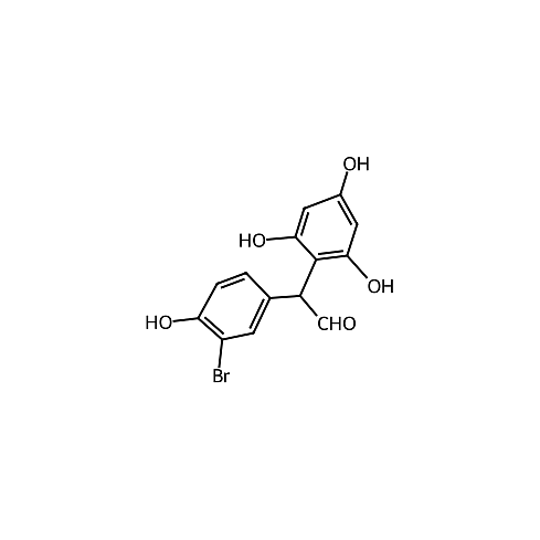 O=CC(c1ccc(O)c(Br)c1)c1c(O)cc(O)cc1O